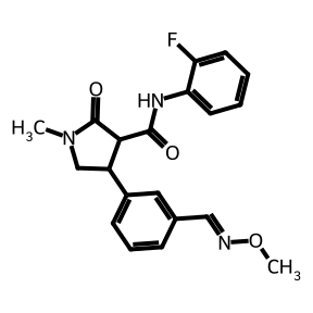 CO/N=C/c1cccc(C2CN(C)C(=O)C2C(=O)Nc2ccccc2F)c1